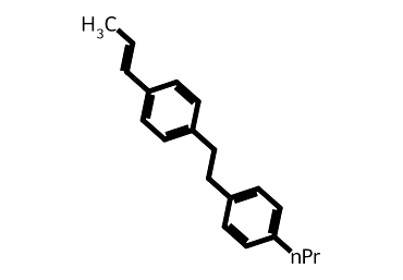 CC=Cc1ccc(CCc2ccc(CCC)cc2)cc1